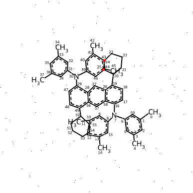 Cc1cc(C)cc(N(c2cc(C)cc(C)c2)c2ccc(C3CCCCC3)c3cc4c(N(c5cc(C)cc(C)c5)c5cc(C)cc(C)c5)ccc(C5CCCCC5)c4cc23)c1